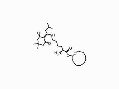 CC(C)CC(NCCCC[C@H](N)C(=O)OC1CCCCCCCCC1)=C1C(=O)CC(C)(C)CC1=O